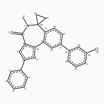 CN1C(=O)c2cc(-c3ccccc3)nn2-c2cc(-c3cccc(Cl)c3)ccc2C12CC2